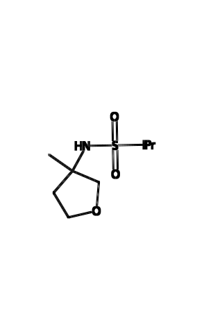 CC(C)S(=O)(=O)NC1(C)CCOC1